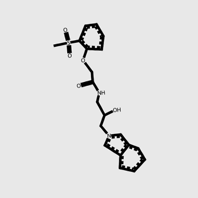 CS(=O)(=O)c1ccccc1OCC(=O)NCC(O)Cn1cc2ccccc2c1